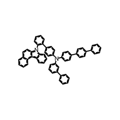 c1ccc(-c2ccc(-c3ccc(N(c4ccc(-c5ccccc5-n5c6ccccc6c6c7ccccc7ccc65)cc4)c4cccc(-c5ccccc5)c4)cc3)cc2)cc1